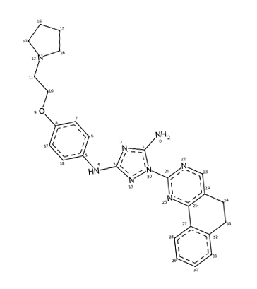 Nc1nc(Nc2ccc(OCCN3CCCC3)cc2)nn1-c1ncc2c(n1)-c1ccccc1CC2